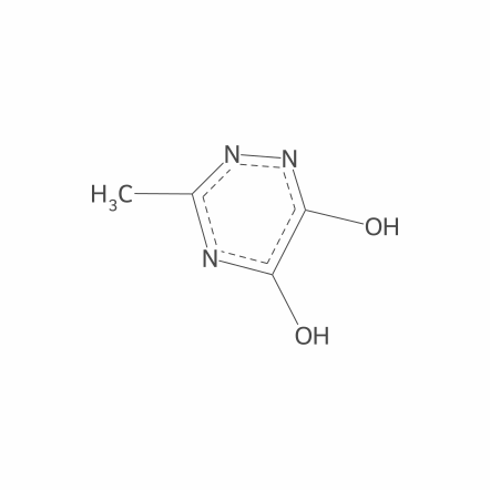 Cc1nnc(O)c(O)n1